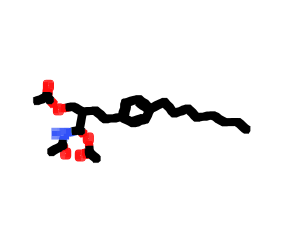 CCCCCCCCc1ccc(CCC(COC(C)=O)C(NC(C)=O)OC(C)=O)cc1